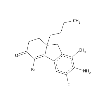 CCCCC12CCC(=O)C(Br)=C1c1cc(F)c(N)c(C)c1C2